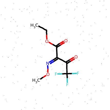 CCOC(=O)C(=NOC)C(=O)C(F)(F)F